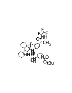 CC(C(=O)NC(F)C(F)F)c1ccc(NC(=O)C(NC(=O)c2ccnn2C2CCCN(C(=O)OC(C)(C)C)C2)C(C2CCCCC2)C2CCCCC2)c(F)c1